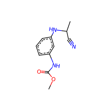 COC(=O)Nc1cccc(NC(C)C#N)c1